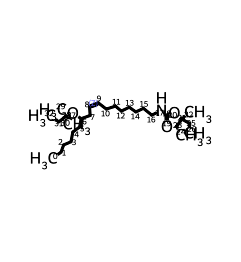 CCCCCCC(C/C=C\CCCCCCCNC(=O)OC(C)(CC)CC)OC(C)(C)CC